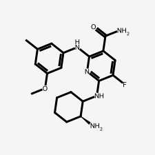 COc1cc(C)cc(Nc2nc(NC3CCCC[C@@H]3N)c(F)cc2C(N)=O)c1